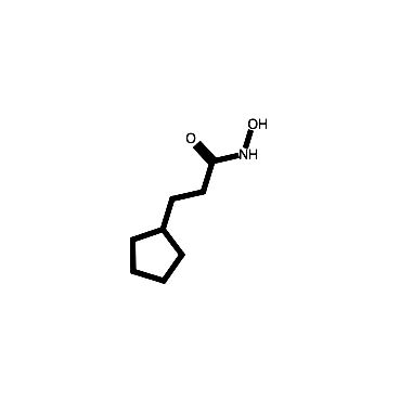 O=C(CCC1CCCC1)NO